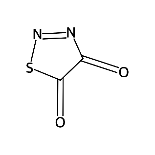 O=C1N=NSC1=O